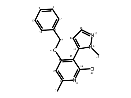 Cc1cc(OCc2ccccc2)c(-c2ccnn2C)c(Cl)n1